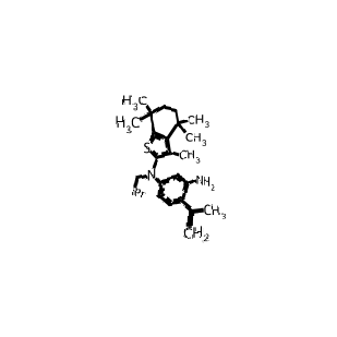 C=C(C)c1ccc(N(CC(C)C)c2sc3c(c2C)C(C)(C)CCC3(C)C)cc1N